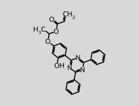 C=CC(=O)OC(C)Oc1ccc(-c2nc(-c3ccccc3)nc(-c3ccccc3)n2)c(O)c1